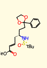 COC(=O)/C=C/C[C@H](CCC1(c2ccccc2)OCCO1)N[S@@+]([O-])C(C)(C)C